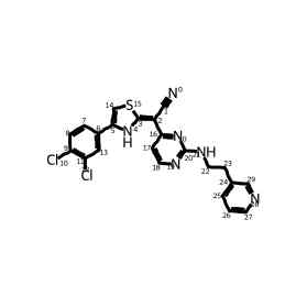 N#CC(=C1NC(c2ccc(Cl)c(Cl)c2)=CS1)c1ccnc(NCCc2cccnc2)n1